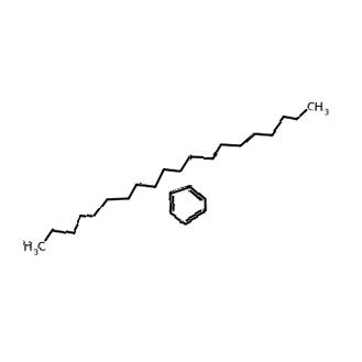 CCCCCCCCCCCCCCCCCCCC.c1ccccc1